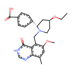 CCO[C@H]1CCN(Cc2c(OC)cc(C)c3nc[nH]c(=O)c23)[C@H](c2ccc(C(=O)O)cc2)C1